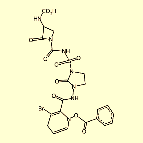 O=C(O)NC1CN(C(=O)NS(=O)(=O)N2CCN(NC(=O)C3=C(Br)CC=CN3OC(=O)c3ccccc3)C2=O)C1=O